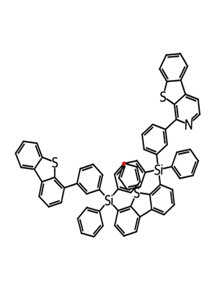 c1ccc([Si](c2ccccc2)(c2cccc(-c3cccc4c3sc3ccccc34)c2)c2cccc3c2sc2c([Si](c4ccccc4)(c4ccccc4)c4cccc(-c5nccc6c5sc5ccccc56)c4)cccc23)cc1